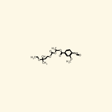 CCOC(C)(C)CCOC(=O)OC(C)OC(=O)c1ccc(NC=O)c(OC)c1